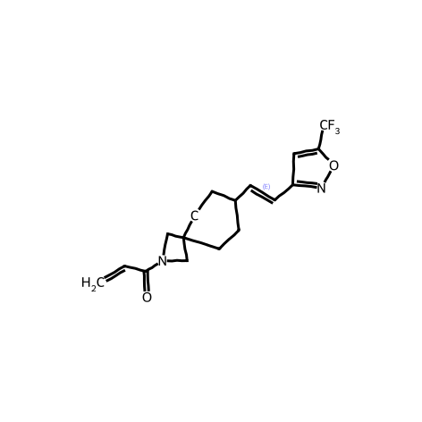 C=CC(=O)N1CC2(CCC(/C=C/c3cc(C(F)(F)F)on3)CC2)C1